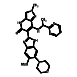 COc1cc2nc(-c3c(NC(C)c4ncccn4)c4nn(C)cc4[nH]c3=O)[nH]c2cc1N1CCOCC1